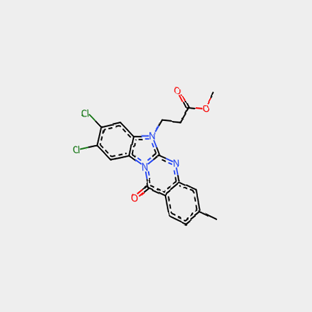 COC(=O)CCn1c2cc(Cl)c(Cl)cc2n2c(=O)c3ccc(C)cc3nc12